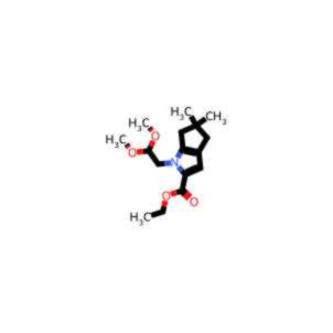 CCOC(=O)c1cc2c(n1CC(OC)OC)CC(C)(C)C2